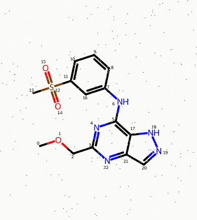 COCc1nc(Nc2cccc(S(C)(=O)=O)c2)c2[nH]ncc2n1